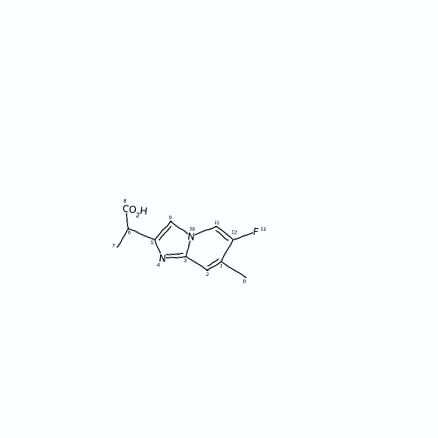 Cc1cc2nc(C(C)C(=O)O)cn2cc1F